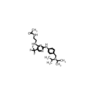 CC(=O)NCCNc1nc(Nc2ccc(CN(C(C)C)C(C)C)cc2)ncc1C(F)(F)F